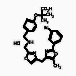 Cc1oc(-c2cccc(Br)c2)nc1Cc1coc(CNCc2ccc(OC(C)(C)C(=O)O)cc2)n1.Cl